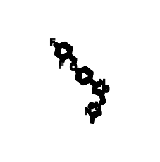 Cc1cn(Cc2cc(-c3ccc(OCc4ccc(F)cc4F)cc3)no2)cn1